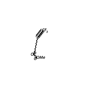 COC(=O)C=CC(=O)OCCCCCCCCCCCC(F)(F)C(F)(F)C(F)(F)C(F)(F)C(F)(F)C(F)(F)F